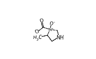 CC1CNC[N+]1([O-])C(=O)Cl